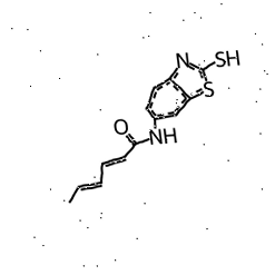 CC=CC=CC(=O)Nc1ccc2nc(S)sc2c1